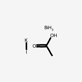 CC(=O)O.[BiH3].[K][I]